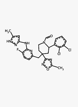 Cc1cc(Nc2nc(CC3(c4noc(C)n4)CCN(C=O)C(c4cccc(Cl)c4Cl)C3)ccc2F)n[nH]1